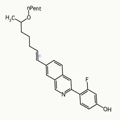 CCCCCOC(C)CCC/C=C/c1ccc2cc(-c3ccc(O)cc3F)ncc2c1